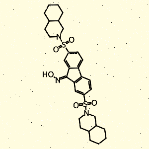 O=S(=O)(c1ccc2c(c1)C(=NO)c1cc(S(=O)(=O)N3CCC4CCCCC4C3)ccc1-2)N1CCC2CCCCC2C1